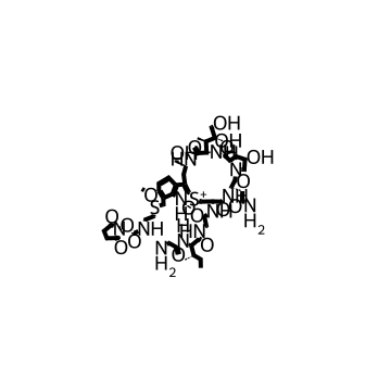 CC[C@H](C)[C@@H](NC(=O)CN)C(=O)NCC(=O)N[C@H]1C[S+]([O-])c2[nH]c3c(CSCCNC(=O)ON4C(=O)CCC4=O)c(OC)ccc3c2C[C@@H](CO)NC(=O)[C@H]([C@@H](C)[C@@H](O)CO)NC(=O)[C@H]2C[C@@H](O)CN2C(=O)[C@H](CC(N)=O)NC1=O